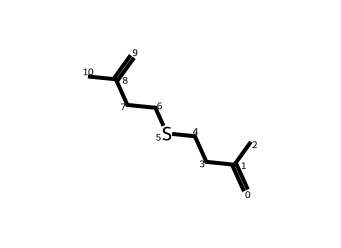 C=C(C)CCSCCC(=C)C